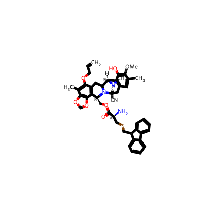 C=CCOc1c(C)c2c(c3c1CC1[C@H]4c5c(cc(C)c(OC)c5O)CC(C#N)(CN4C)N1[C@H]3COC(=O)[C@@H](N)CSCC1c3ccccc3-c3ccccc31)OCO2